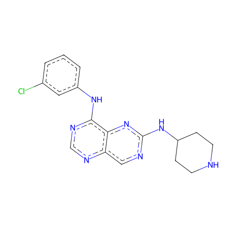 Clc1cccc(Nc2ncnc3cnc(NC4CCNCC4)nc23)c1